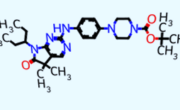 CCC(CC)N1C(=O)C(C)(C)c2cnc(Nc3ccc(N4CCN(C(=O)OC(C)(C)C)CC4)cc3)nc21